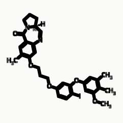 COc1cc(Oc2cc(OCCCOc3cc4c(cc3C)C(=O)N3CCC[C@H]3C=N4)ccc2I)cc(C)c1C